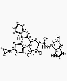 O=C(NN1CNC=C2N=CNC21)C1CC(c2nc3ccccc3[nH]2)N(c2ccc(C3CC3)cc2)C(Cl)C1Cl